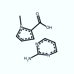 Cn1cccc1C(=O)O.Nc1ncccn1